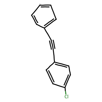 Clc1ccc(C#Cc2cc[c]cc2)cc1